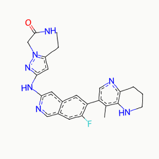 Cc1c(-c2cc3cc(Nc4cc5n(n4)CC(=O)NCC5)ncc3cc2F)cnc2c1NCCC2